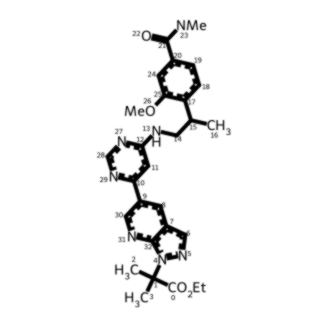 CCOC(=O)C(C)(C)n1ncc2cc(-c3cc(NCC(C)c4ccc(C(=O)NC)cc4OC)ncn3)cnc21